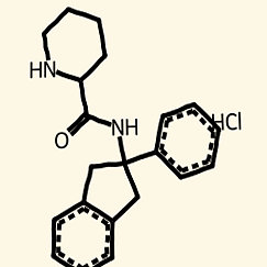 Cl.O=C(NC1(c2ccccc2)Cc2ccccc2C1)C1CCCCN1